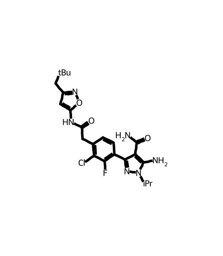 CC(C)n1nc(-c2ccc(CC(=O)Nc3cc(CC(C)(C)C)no3)c(Cl)c2F)c(C(N)=O)c1N